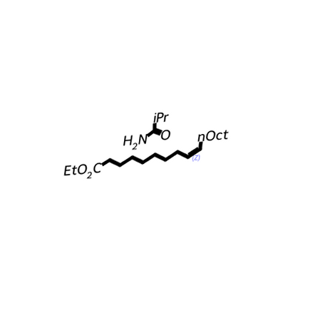 CC(C)C(N)=O.CCCCCCCC/C=C\CCCCCCCC(=O)OCC